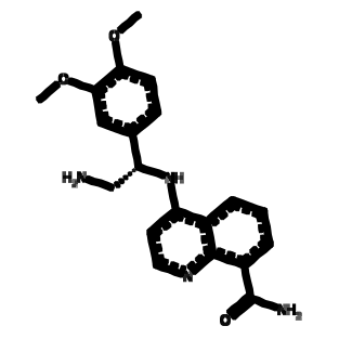 COc1ccc([C@@H](CN)Nc2ccnc3c(C(N)=O)cccc23)cc1OC